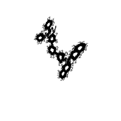 c1ccc(-c2nc3ccc(-c4cccc(-c5ccc(N(c6ccc7ccccc7c6)c6ccc7ccccc7c6)cc5)c4)cc3n2-c2ccccc2)cc1